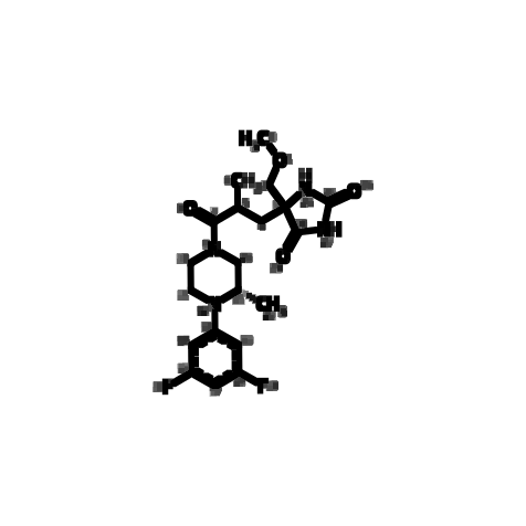 COCC1(CC(C)C(=O)N2CCN(c3cc(F)cc(F)c3)[C@@H](C)C2)NC(=O)NC1=O